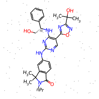 CCCN1C(=O)c2ccc(Nc3ncc(-c4nc(C(C)(C)O)no4)c(N[C@H](CO)c4ccccc4)n3)cc2C1(C)C